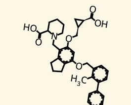 Cc1c(COc2cc(OC[C@H]3C[C@H]3C(=O)O)c(CN3CCCCC3C(=O)O)c3c2CCC3)cccc1-c1ccccc1